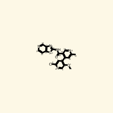 COc1cnc(Cl)cc1-c1cc(C)ncc1C(=O)Nc1nc2cnccc2s1